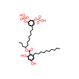 CCCCCCCCCCc1cc(O)cc(O)c1C(=O)OC(CCC)CCCCCCCc1cc(OS(=O)(=O)O)cc(OS(=O)(=O)O)c1